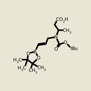 CC(CC(=O)O)N(C/C=C/B1OC(C)(C)C(C)(C)O1)C(=O)OC(C)(C)C